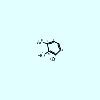 CC(=O)c1ccccc1O.[Zr]